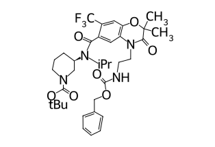 CC(C)N(C(=O)c1cc2c(cc1C(F)(F)F)OC(C)(C)C(=O)N2CCNC(=O)OCc1ccccc1)[C@@H]1CCCN(C(=O)OC(C)(C)C)C1